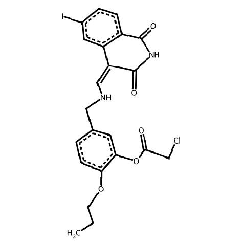 CCCOc1ccc(CN/C=C2\C(=O)NC(=O)c3ccc(I)cc32)cc1OC(=O)CCl